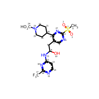 CS(=O)(=O)c1ncc(CC(O)Nc2ccnc(C(F)(F)F)n2)c(C2CCN(C(=O)O)CC2)n1